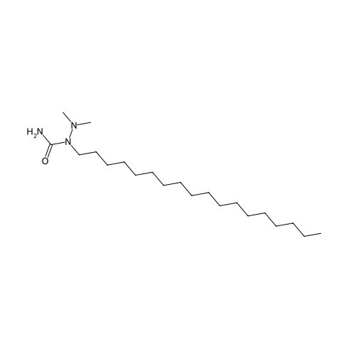 CCCCCCCCCCCCCCCCCCN(C(N)=O)N(C)C